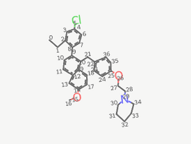 CCc1cc(Cl)ccc1-c1ccc2cc(OC)ccc2c1Cc1ccc(OCCN2CCCCC2)cc1